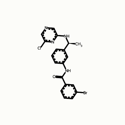 C[C@H](Nc1cncc(Cl)n1)c1cccc(NC(=O)c2cccc(Br)c2)c1